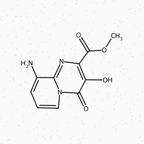 COC(=O)c1nc2c(N)cccn2c(=O)c1O